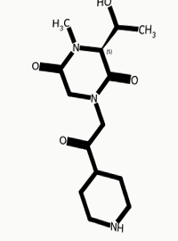 CC(O)[C@H]1C(=O)N(CC(=O)C2CCNCC2)CC(=O)N1C